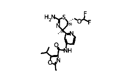 Cc1nc(C(=O)Nc2ccnc([C@]3(C)C[C@@H](COC(F)F)SC(N)=N3)c2)c(C(C)C)o1